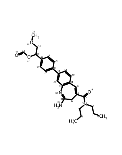 CCCN(CCC)C(=O)C1=Cc2ccc(-c3ccc(C(COC)OC=O)cc3)cc2N=C(N)C1